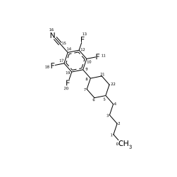 CCCCCC1CCC(c2c(F)c(F)c(C#N)c(F)c2F)CC1